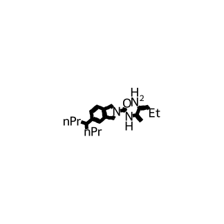 C=C(NC(=O)N1Cc2ccc(C(CCC)CCC)cc2C1)/C(N)=C\CC